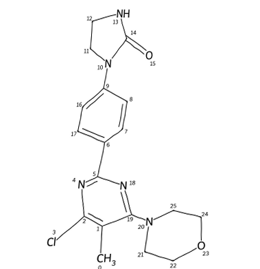 Cc1c(Cl)nc(-c2ccc(N3CCNC3=O)cc2)nc1N1CCOCC1